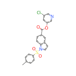 Cc1ccc(S(=O)(=O)n2ccc3cc(C(=O)Oc4cncc(Cl)c4)ccc32)cc1